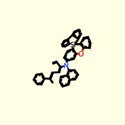 C=C/C(=C\C=C(/C)c1ccccc1)N(c1ccc2c(c1)Oc1ccccc1[Si]21c2ccccc2-c2ccccc21)c1cccc2ccccc12